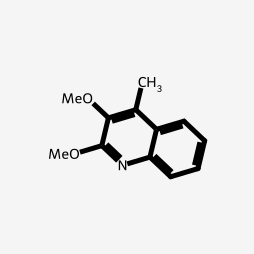 COc1nc2ccccc2c(C)c1OC